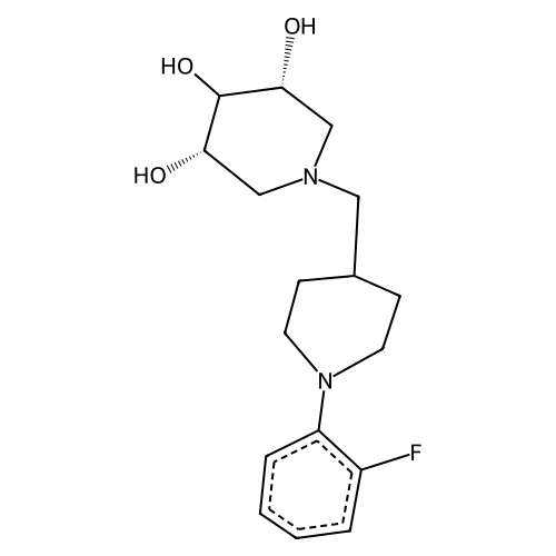 OC1[C@H](O)CN(CC2CCN(c3ccccc3F)CC2)C[C@@H]1O